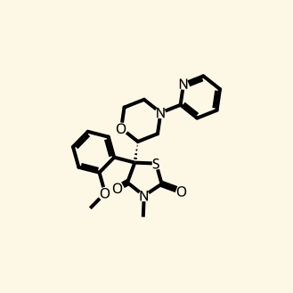 COc1ccccc1C1([C@H]2CN(c3ccccn3)CCO2)SC(=O)N(C)C1=O